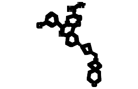 CC(C)NC(=O)Cn1c(-c2cccc(Cl)c2)nc2ccc([C@H]3C[C@H](CN4CC5(CCOCC5)C4)C3)cc2c1=O